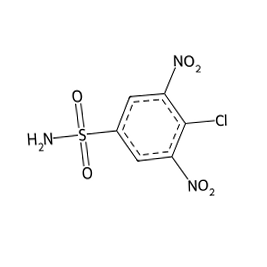 NS(=O)(=O)c1cc([N+](=O)[O-])c(Cl)c([N+](=O)[O-])c1